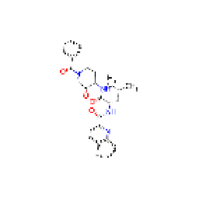 CC(C)C[C@H](NC(=O)c1ccc2ccccc2n1)C(=O)NC1CCN(C(=O)c2ccccc2)CC1=O